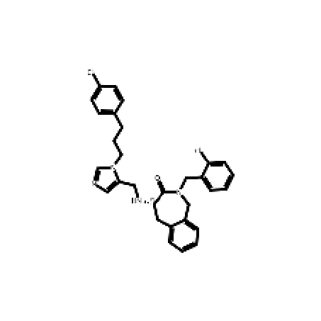 O=C1[C@@H](NCc2cncn2CCCc2ccc(Cl)cc2)Cc2ccccc2CN1Cc1ccccc1Cl